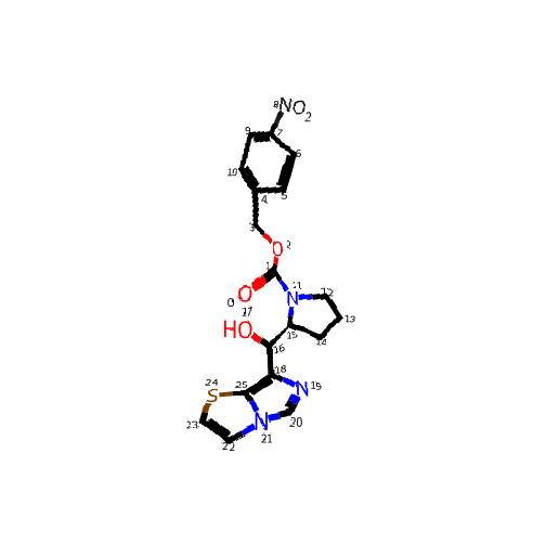 O=C(OCc1ccc([N+](=O)[O-])cc1)N1CCC[C@H]1C(O)c1ncn2ccsc12